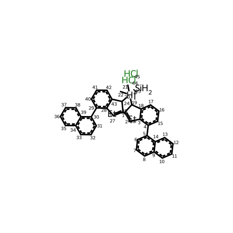 CCC1=Cc2c(-c3cccc4ccccc34)cccc2[CH]1[Hf]([CH3])([CH3])(=[SiH2])[CH]1C(CC)=Cc2c(-c3cccc4ccccc34)cccc21.Cl.Cl